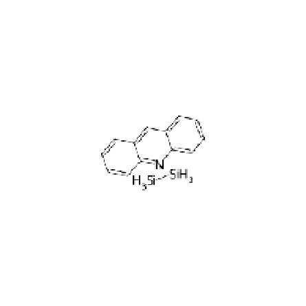 [SiH3][SiH3].c1ccc2nc3ccccc3cc2c1